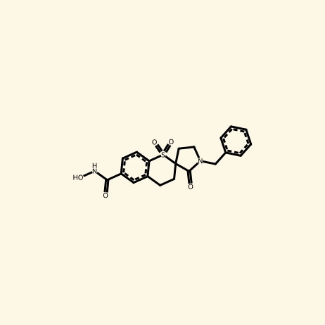 O=C(NO)c1ccc2c(c1)CCC1(CCN(Cc3ccccc3)C1=O)S2(=O)=O